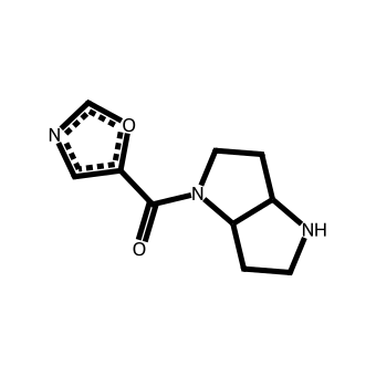 O=C(c1cnco1)N1CCC2NCCC21